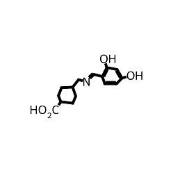 O=C(O)C1CCC(CN=Cc2ccc(O)cc2O)CC1